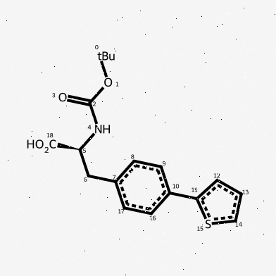 CC(C)(C)OC(=O)N[C@@H](Cc1ccc(-c2cccs2)cc1)C(=O)O